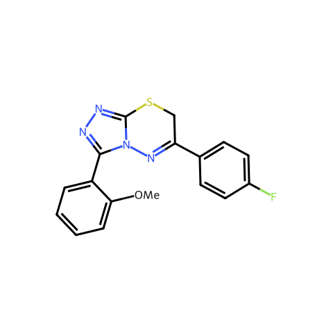 COc1ccccc1-c1nnc2n1N=C(c1ccc(F)cc1)CS2